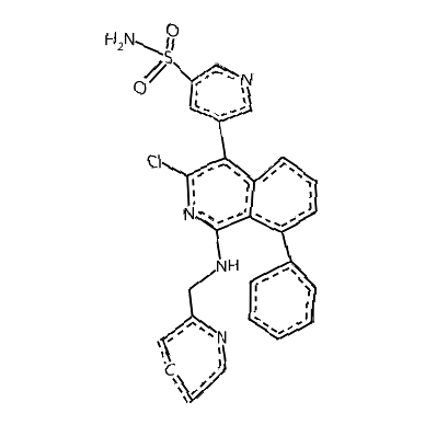 NS(=O)(=O)c1cncc(-c2c(Cl)nc(NCc3ccccn3)c3c(-c4ccccc4)cccc23)c1